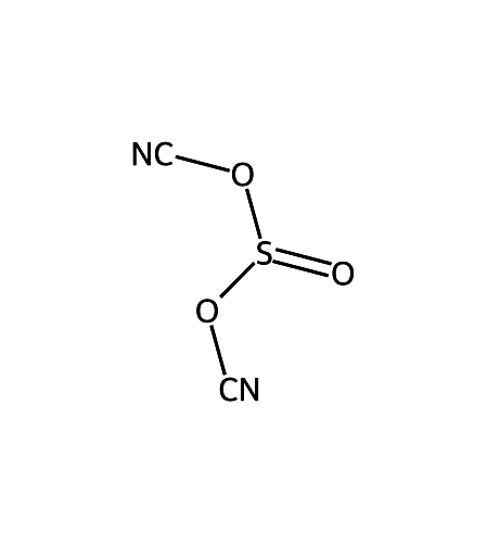 N#COS(=O)OC#N